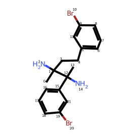 CC(N)(CCc1cccc(Br)c1)C(C)(N)c1cccc(Br)c1